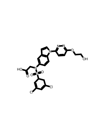 O=C(O)CN(c1ccc2c(ccn2-c2ccc(OCCO)nn2)c1)S(=O)(=O)C1C=C(Cl)C=C(Cl)C1